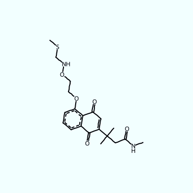 CNC(=O)CC(C)(C)C1=CC(=O)c2c(OCCONCSC)cccc2C1=O